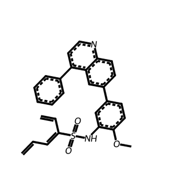 C=C/C=C(\C=C)S(=O)(=O)Nc1cc(-c2ccc3nccc(-c4ccccc4)c3c2)ccc1OC